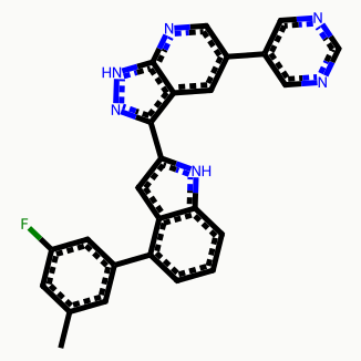 Cc1cc(F)cc(-c2cccc3[nH]c(-c4n[nH]c5ncc(-c6cncnc6)cc45)cc23)c1